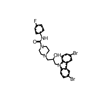 O=C(Nc1ccc(F)cc1)N1CCN(CC(O)Cn2c3ccc(Br)cc3c3cc(Br)ccc32)CC1